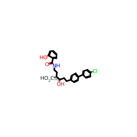 O=C(NCC[C@H](C(=O)O)[C@H](O)CCc1ccc(-c2ccc(Cl)cc2)cc1)c1ccccc1O